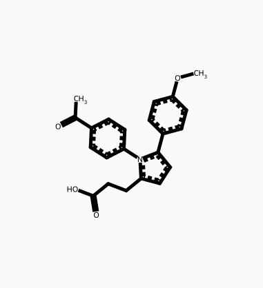 COc1ccc(-c2ccc(CCC(=O)O)n2-c2ccc(C(C)=O)cc2)cc1